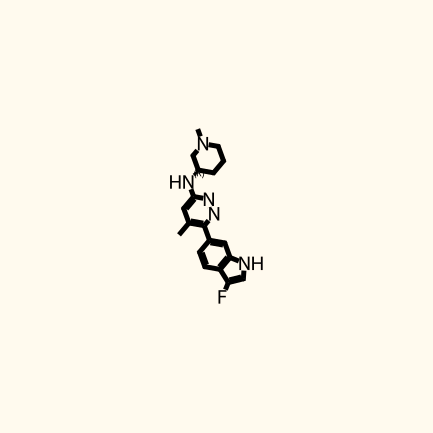 Cc1cc(N[C@@H]2CCCN(C)C2)nnc1-c1ccc2c(F)c[nH]c2c1